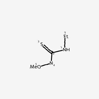 CCNC(=S)[N]OC